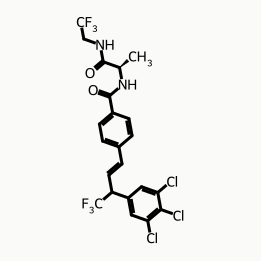 C[C@@H](NC(=O)c1ccc(/C=C/C(c2cc(Cl)c(Cl)c(Cl)c2)C(F)(F)F)cc1)C(=O)NCC(F)(F)F